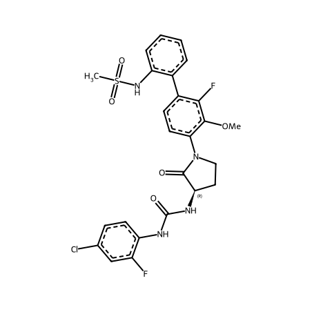 COc1c(N2CC[C@@H](NC(=O)Nc3ccc(Cl)cc3F)C2=O)ccc(-c2ccccc2NS(C)(=O)=O)c1F